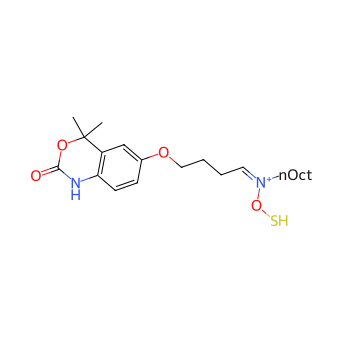 CCCCCCCC[N+](=CCCCOc1ccc2c(c1)C(C)(C)OC(=O)N2)OS